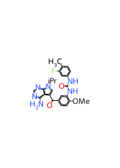 COc1ccc(C(=O)c2cn(C(C)C)c3ncnc(N)c23)cc1NC(=O)Nc1ccc(C)c(F)c1